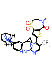 [2H]C([2H])([2H])N1C2CC1CN(c1ccc(Nc3ncc(C(F)(F)F)c(-c4cc5c(s4)C(=O)N(C)CCS5(=O)=O)n3)c(C3CC3)c1)C2